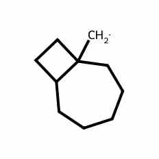 [CH2]C12CCCCCC1CC2